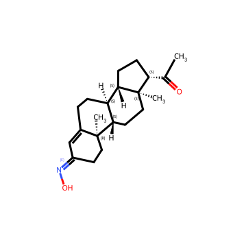 CC(=O)[C@H]1CC[C@H]2[C@@H]3CCC4=C/C(=N/O)CC[C@]4(C)[C@H]3CC[C@]12C